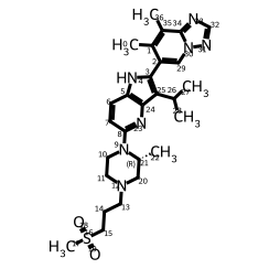 Cc1c(-c2[nH]c3ccc(N4CCN(CCCS(C)(=O)=O)C[C@H]4C)nc3c2C(C)C)cn2ncnc2c1C